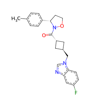 Cc1ccc([C@@H]2CCON2C(=O)[C@H]2C[C@H](Cn3cnc4cc(F)ccc43)C2)cc1